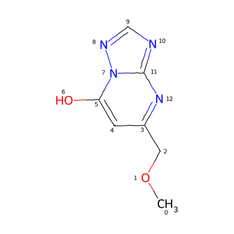 COCc1cc(O)n2ncnc2n1